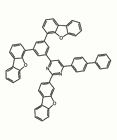 c1ccc(-c2ccc(-c3cc(-c4cc(-c5cccc6c5oc5ccccc56)cc(-c5cccc6c5oc5ccccc56)c4)nc(-c4ccc5c(c4)oc4ccccc45)n3)cc2)cc1